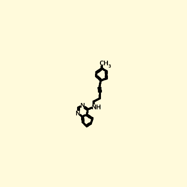 Cc1ccc(C#CCCNc2ncnc3ccccc23)cc1